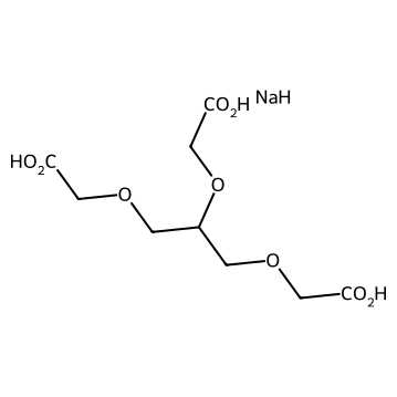 O=C(O)COCC(COCC(=O)O)OCC(=O)O.[NaH]